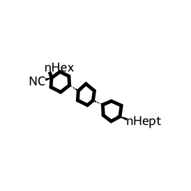 CCCCCCC[C@H]1CC[C@H](C2CCC([C@H]3CC[C@@](C#N)(CCCCCC)CC3)CC2)CC1